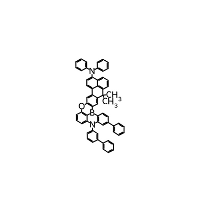 CC1(C)c2cc3c(cc2-c2ccc(N(c4ccccc4)c4ccccc4)c4cccc1c24)Oc1cccc2c1B3c1ccc(-c3ccccc3)cc1N2c1cccc(-c2ccccc2)c1